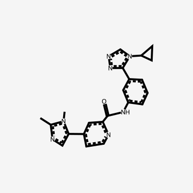 Cc1ncc(-c2ccnc(C(=O)Nc3cccc(-c4nncn4C4CC4)c3)c2)n1C